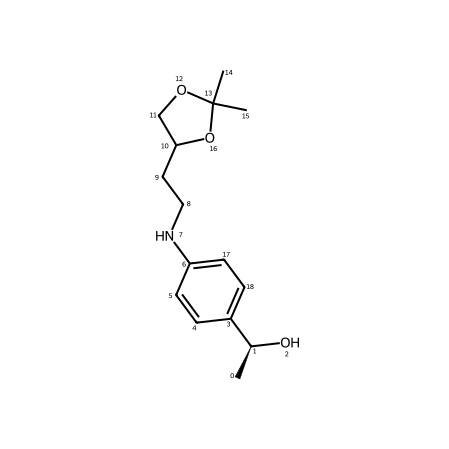 C[C@H](O)c1ccc(NCCC2COC(C)(C)O2)cc1